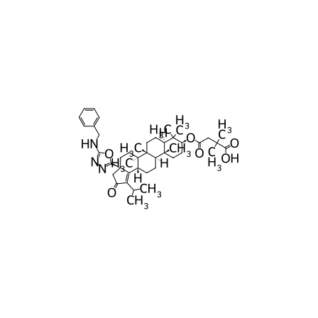 CC(C)C1=C2[C@H]3CC[C@@H]4[C@@]5(C)CC[C@H](OC(=O)CC(C)(C)C(=O)O)C(C)(C)[C@@H]5CC[C@@]4(C)[C@]3(C)CC[C@@]2(c2nnc(NCc3ccccc3)o2)CC1=O